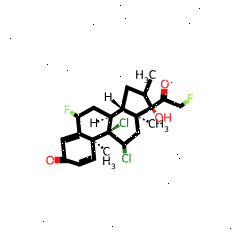 CC1C[C@H]2[C@@H]3CC(F)C4=CC(=O)C=C[C@]4(C)[C@@]3(Cl)C(Cl)C[C@]2(C)[C@@]1(O)C(=O)CF